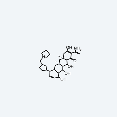 C=C(N)C1=C(O)C[C@]2(C)C[C@]3(C)CC4C(C5CC[C@@H](CN6CCCC6)C5)C=CC(O)C4C(O)C3C(O)C2C1=O